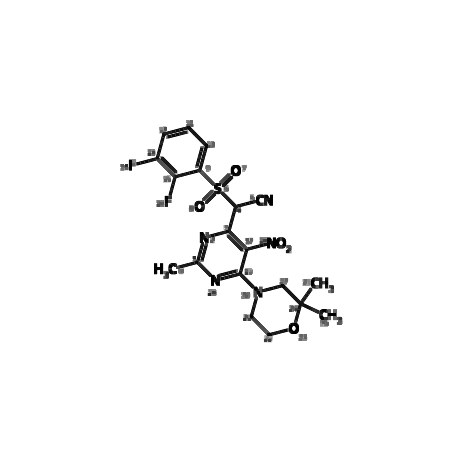 Cc1nc(C(C#N)S(=O)(=O)c2cccc(F)c2F)c([N+](=O)[O-])c(N2CCOC(C)(C)C2)n1